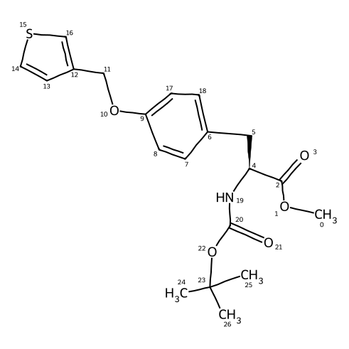 COC(=O)[C@H](Cc1ccc(OCc2ccsc2)cc1)NC(=O)OC(C)(C)C